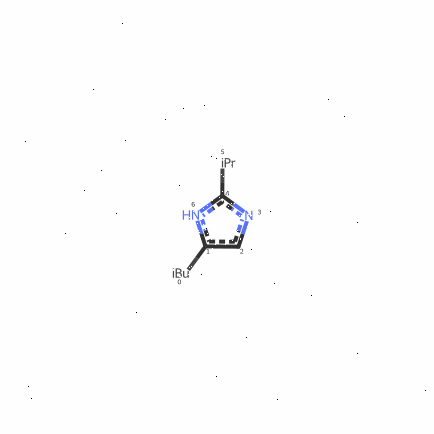 CCC(C)c1cnc(C(C)C)[nH]1